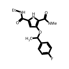 CCNC(=O)c1cc(OC(C)c2ccc(F)cc2)c(C(=O)NC)[nH]1